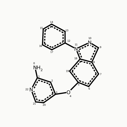 Nc1cc(Oc2ccc3cnn(-c4ccccc4)c3c2)ccn1